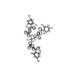 Cc1cc(C)c(C(=O)OOC(=O)OCC(C)(COC(=O)OOC(=O)c2c(C)cc(C)cc2C)COC(=O)OOC(=O)c2c(C)cc(C)cc2C)c(C)c1